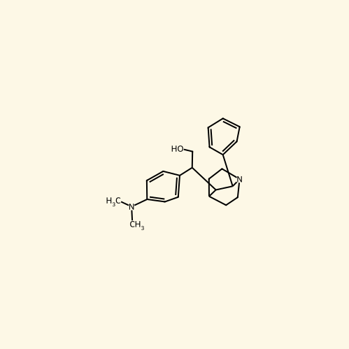 CN(C)c1ccc(C(CO)C2C3CCN(CC3)C2c2ccccc2)cc1